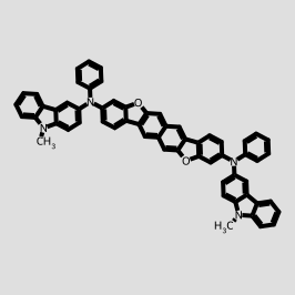 Cn1c2ccccc2c2cc(N(c3ccccc3)c3ccc4c(c3)oc3cc5cc6c(cc5cc34)oc3cc(N(c4ccccc4)c4ccc5c(c4)c4ccccc4n5C)ccc36)ccc21